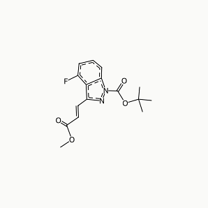 COC(=O)C=Cc1nn(C(=O)OC(C)(C)C)c2cccc(F)c12